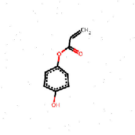 C=CC(=O)Oc1ccc(O)cc1